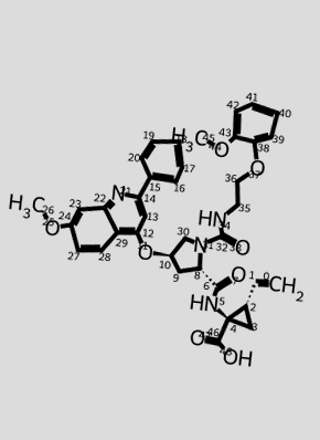 C=C[C@@H]1C[C@]1(NC(=O)[C@@H]1C[C@@H](Oc2cc(-c3ccccc3)nc3cc(OC)ccc23)CN1C(=O)NCCOc1ccccc1OC)C(=O)O